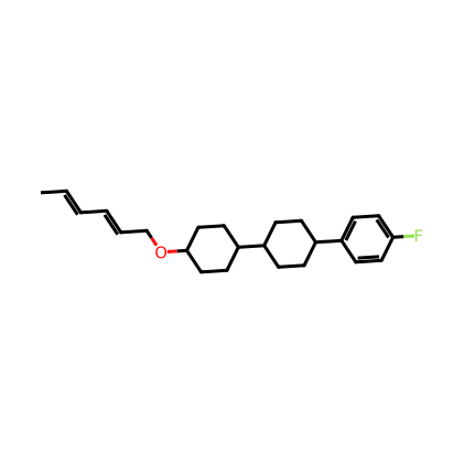 CC=CC=CCOC1CCC(C2CCC(c3ccc(F)cc3)CC2)CC1